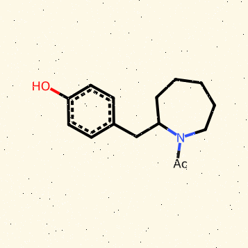 CC(=O)N1CCCCCC1Cc1ccc(O)cc1